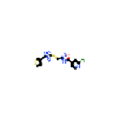 Cn1c(SCc2noc(-c3ccnc(Cl)c3)n2)nnc1-c1ccsc1